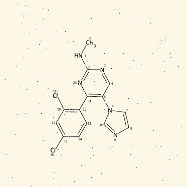 CNc1ncc(-n2ccnc2)c(-c2ccc(Cl)cc2Cl)n1